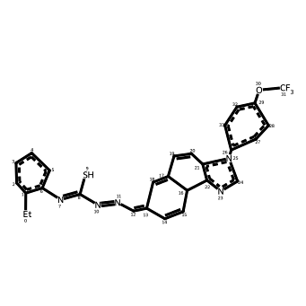 CCc1ccccc1N=C(S)N=NC=C1C=CC2C(=C1)C=Cc1c2ncn1-c1ccc(OC(F)(F)F)cc1